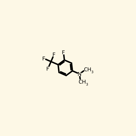 CN(C)c1ccc(C(F)(F)F)c(F)c1